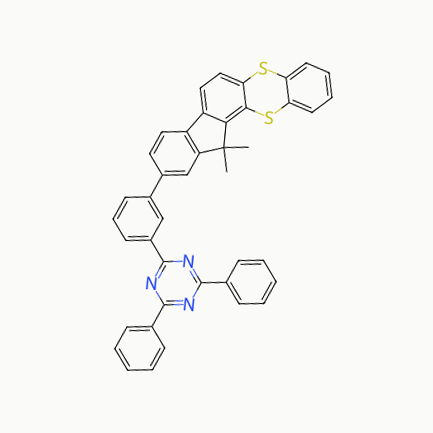 CC1(C)c2cc(-c3cccc(-c4nc(-c5ccccc5)nc(-c5ccccc5)n4)c3)ccc2-c2ccc3c(c21)Sc1ccccc1S3